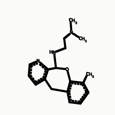 Cc1cccc2c1OC(NCCN(C)C)c1ncccc1C2